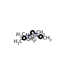 C/C(=N\c1ccc(C)cc1)c1cccc(/C(C)=N/c2c(C)cc(C)cc2C)n1